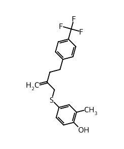 C=C(CCc1ccc(C(F)(F)F)cc1)CSc1ccc(O)c(C)c1